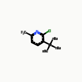 CCC[CH2][Sn]([CH2]CCC)([CH2]CCC)[c]1ccc(C(F)(F)F)nc1Cl